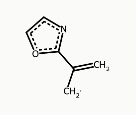 [CH2]C(=C)c1ncco1